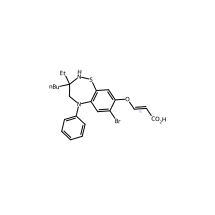 CCCCC1(CC)CN(c2ccccc2)c2cc(Br)c(O/C=C/C(=O)O)cc2SN1